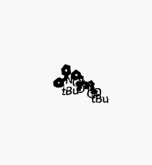 CC(C)(C)OC(=O)[C@@H](Cc1cccc(N=C(c2ccccc2)c2ccccc2)c1)[C@H]1CCN(C(=O)OC(C)(C)C)C1